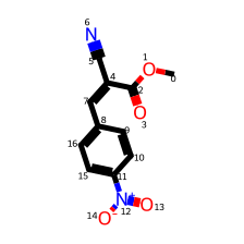 COC(=O)C(C#N)=Cc1ccc([N+](=O)[O-])cc1